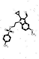 COc1ccc2c(c1)c(C=O)c(C1CC1)n2CCOS(=O)(=O)c1ccc(C)cc1